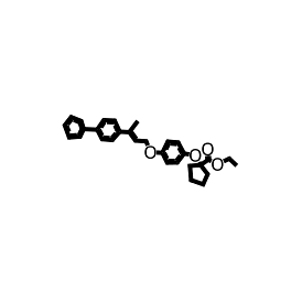 CCOC(=O)C1(Oc2ccc(OC/C=C(\C)c3ccc(-c4ccccc4)cc3)cc2)CCCC1